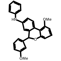 COc1cccc(C2Oc3cccc(OC)c3-c3ccc(Nc4ccccc4)cc32)c1